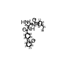 O=C(N[C@H]1CNC[C@H]1NC(=O)c1ccc(CI)s1)c1ccc(-n2ccccc2=O)cc1